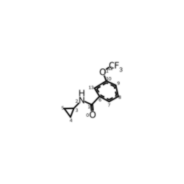 O=C(NC1CC1)c1cccc(OC(F)(F)F)c1